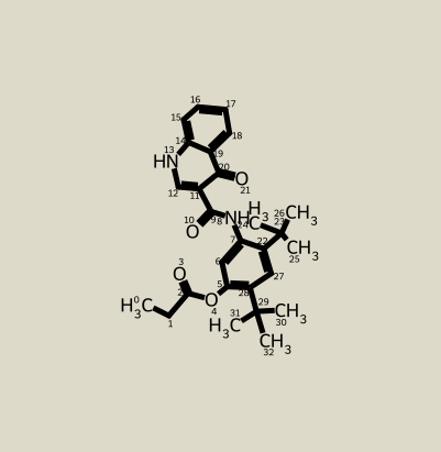 CCC(=O)Oc1cc(NC(=O)c2c[nH]c3ccccc3c2=O)c(C(C)(C)C)cc1C(C)(C)C